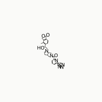 Cc1c([C@@H](O)CN2CCC3CN(C(=O)c4cccc(-n5cnnn5)n4)CC32)ccc2c1COC2=O